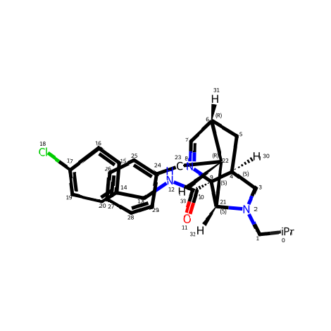 CC(C)CN1C[C@@H]2C[C@H]3C=N[C@]2(C(=O)NCc2ccc(Cl)cc2)[C@@H]1[C@@H]3Cc1ccccc1